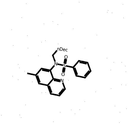 CCCCCCCCCCCN(c1cc(C)cc2cccnc12)S(=O)(=O)c1ccccc1